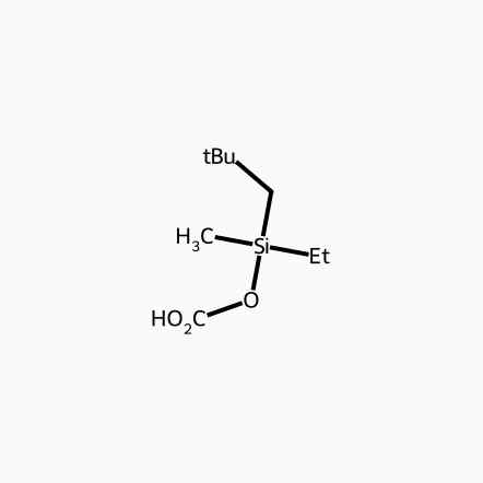 CC[Si](C)(CC(C)(C)C)OC(=O)O